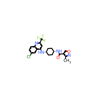 Cc1nocc1C(=O)N[C@H]1CC[C@@H](Nc2cc(C(F)(F)F)nc3ccc(Cl)cc23)CC1